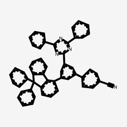 N#Cc1ccc(-c2cc(-c3nc(-c4ccccc4)nc(-c4ccccc4)n3)cc(-c3cccc4c3-c3ccccc3C4(c3ccccc3)c3ccccc3)c2)cc1